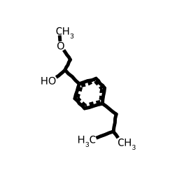 COCC(O)c1ccc(CC(C)C)cc1